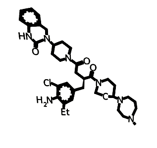 CCc1cc(C[C@@H](CC(=O)N2CCC(N3Cc4ccccc4NC3=O)CC2)C(=O)N2CCC(N3CCCN(C)CC3)CC2)cc(Cl)c1N